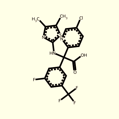 Cc1nc(NC(C(=O)O)(c2cc(F)cc(C(F)(F)F)c2)c2ccc(Cl)cn2)sc1C